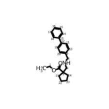 CCOC(=O)C1(CNCc2ccc(-c3ccccc3)cc2)CCCC1